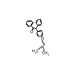 CCN(CC)CCOc1ccc(C(C(=O)c2ccccc2)c2ccccc2)cc1